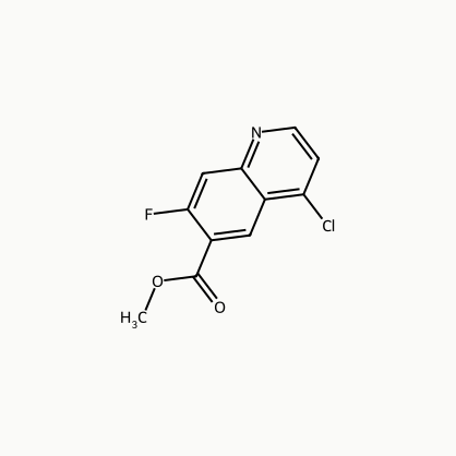 COC(=O)c1cc2c(Cl)ccnc2cc1F